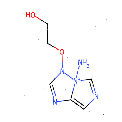 N[N+]12C=NC=C1N=CN2OCCO